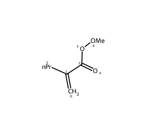 C=C(CCC)C(=O)OOC